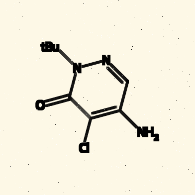 CC(C)(C)n1ncc(N)c(Cl)c1=O